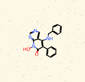 O=c1c(-c2ccccc2)c(NCc2ccccc2)c2cncnc2n1O